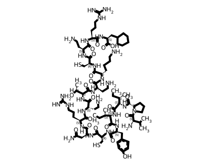 CC[C@H](C)[C@H](NC(=O)[C@@H](NC(=O)[C@@H]1CCCN1C(=O)[C@@H](N)C(C)C)[C@@H](C)CC)C(=O)N[C@@H](Cc1ccc(O)cc1)C(=O)N[C@@H](CS)C(=O)N[C@@H](CC(N)=O)C(=O)N[C@@H](CCCNC(=N)N)C(=O)N[C@@H](CCN)C(=O)N[C@H](C(=O)N[C@H](CCN)C(=O)N[C@@H](CCCCN)C(=O)N[C@@H](CS)C(=O)N[C@@H](CCN)C(=O)N[C@@H](CCCNC(=N)N)C(=O)N[C@@H](CC1CCCCC1)C(=O)O)[C@@H](C)O